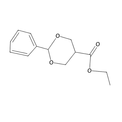 CCOC(=O)C1COC(c2ccccc2)OC1